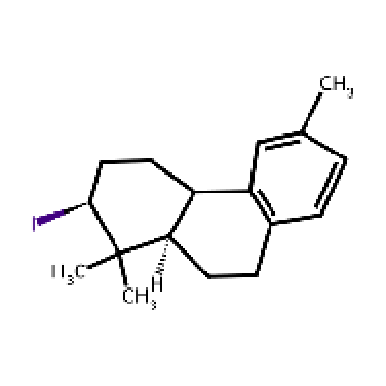 Cc1ccc2c(c1)C1CC[C@H](I)C(C)(C)[C@@H]1CC2